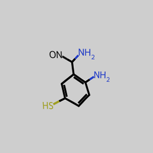 Nc1ccc(S)cc1C(N)N=O